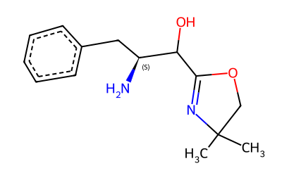 CC1(C)COC(C(O)[C@@H](N)Cc2ccccc2)=N1